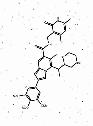 COc1cc(-c2cc3cc(C(=O)NCc4c(C)cc(C)[nH]c4=O)c(C)c(C(C)C4CNCCO4)n3c2)cc(OC)c1OC